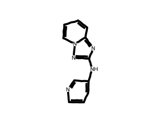 c1cncc(Nc2nc3ccccn3n2)c1